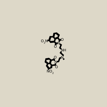 CN(CCNCCN1C(=O)c2cccc3cc([N+](=O)[O-])cc(c23)C1=O)CCN1C(=O)c2cccc3cc([N+](=O)[O-])cc(c23)C1=O